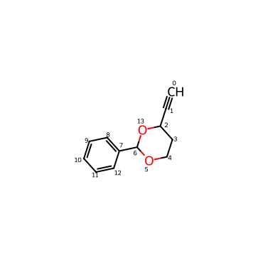 C#CC1CCOC(c2ccccc2)O1